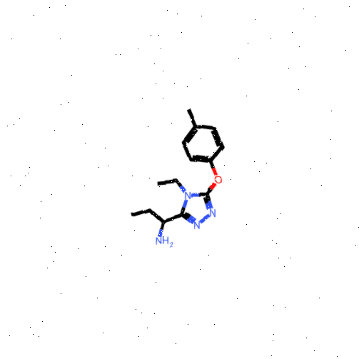 CCC(N)c1nnc(Oc2ccc(C)cc2)n1CC